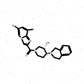 O=C(c1cn2cc(Br)cc(F)c2n1)N1CC[C@H](N2CCc3ccccc3C2)[C@@H](O)C1